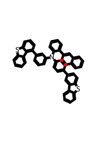 c1cc(-c2cccc3sc4ccccc4c23)cc(N(c2ccc(-c3ccc4sc5ccccc5c4c3)cc2)c2ccccc2-c2ccc3ccccc3c2)c1